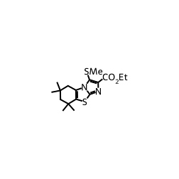 CCOC(=O)c1nc2sc3c(n2c1SC)CC(C)(C)CC3(C)C